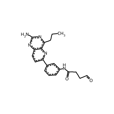 CCCc1nc(N)nc2ccc(-c3cccc(NC(=O)CCC=O)c3)nc12